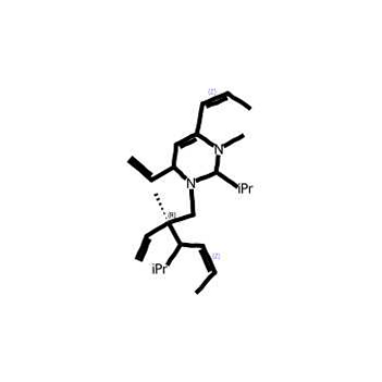 C=CC1C=C(/C=C\C)N(C)C(C(C)C)N1C[C@](C)(C=C)C(/C=C\C)C(C)C